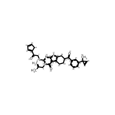 C=C(C)Cn1c(SCC(=O)C2=CC=CC2)nc2sc3c(c2c1=O)CCC(C(=O)c1cccc(C2(C)C=C2)c1)C3